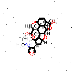 CNc1cocc1[C@@H]1C[C@H]2O[C@@H]3[C@@H]4OC(=O)[C@]5(C)C=CC(=O)[C@](C)([C@@H](C(C)C(=O)OC)[C@]3(C)C2=C1C)[C@@H]45